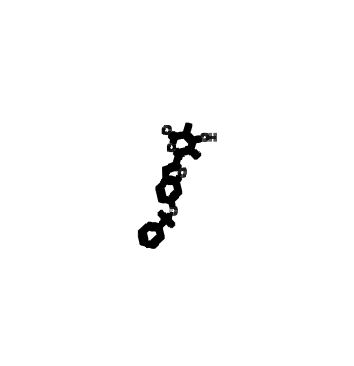 Cc1c(-c2cc3ccc(OC(C)(C)c4ccccc4)cc3o2)oc(=O)c(C)c1O